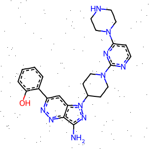 Nc1nn(C2CCN(c3nccc(N4CCNCC4)n3)CC2)c2cc(-c3ccccc3O)nnc12